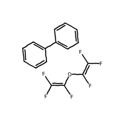 FC(F)=C(F)OC(F)=C(F)F.c1ccc(-c2ccccc2)cc1